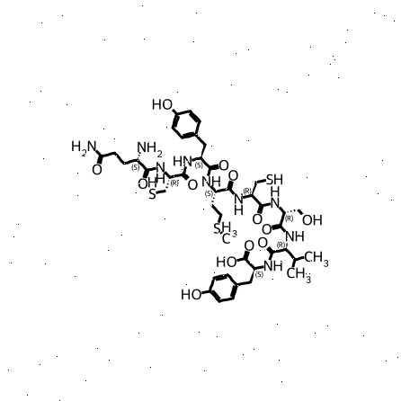 CSCC[C@H](NC(=O)[C@H](Cc1ccc(O)cc1)NC(=O)[C@H](CS)NC(=O)[C@@H](N)CCC(N)=O)C(=O)N[C@@H](CS)C(=O)N[C@H](CO)C(=O)N[C@@H](C(=O)N[C@@H](Cc1ccc(O)cc1)C(=O)O)C(C)C